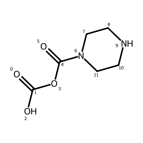 O=C(O)OC(=O)N1CCNCC1